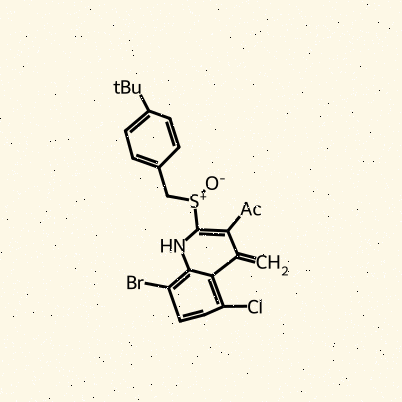 C=C1C(C(C)=O)=C([S+]([O-])Cc2ccc(C(C)(C)C)cc2)Nc2c(Br)ccc(Cl)c21